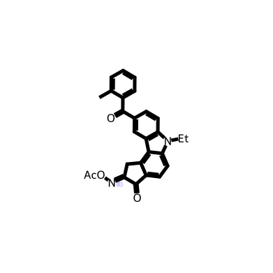 CCn1c2ccc(C(=O)c3ccccc3C)cc2c2c3c(ccc21)C(=O)/C(=N/OC(C)=O)C3